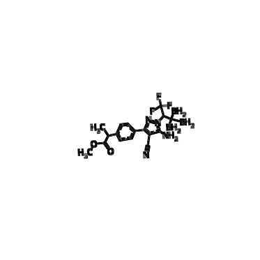 BC(B)(B)C(n1nc(-c2ccc(C(C)C(=O)OC)cc2)c(C#N)c1N)C(F)(F)F